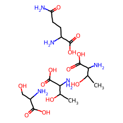 CC(O)C(N)C(=O)O.CC(O)C(N)C(=O)O.NC(=O)CCC(N)C(=O)O.NC(CO)C(=O)O